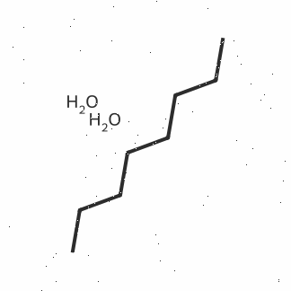 CCCCCCCC.O.O